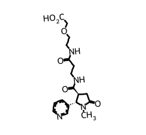 CN1C(=O)C[C@H](C(=O)NCCC(=O)NCCOCC(=O)O)[C@H]1c1cccnc1